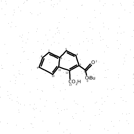 CC(C)COC(=O)c1ccc2ccccc2c1C(=O)O